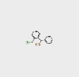 SC(c1ccccc1)c1ccccc1CBr